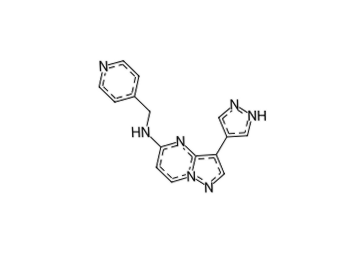 c1cc(CNc2ccn3ncc(-c4cn[nH]c4)c3n2)ccn1